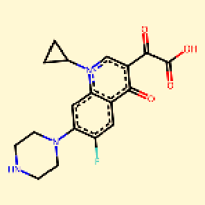 O=C(O)C(=O)c1cn(C2CC2)c2cc(N3CCNCC3)c(F)cc2c1=O